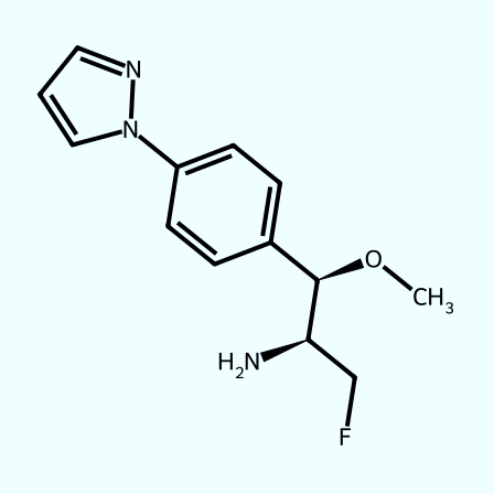 CO[C@H](c1ccc(-n2cccn2)cc1)[C@H](N)CF